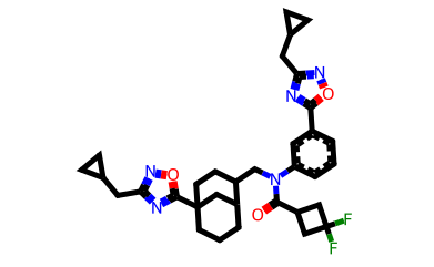 O=C(C1CC(F)(F)C1)N(CC1CCC2(c3nc(CC4CC4)no3)CCCC1C2)c1cccc(-c2nc(CC3CC3)no2)c1